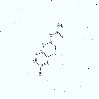 NC(=O)O[C@@H]1CCc2cc(Br)ccc2C1